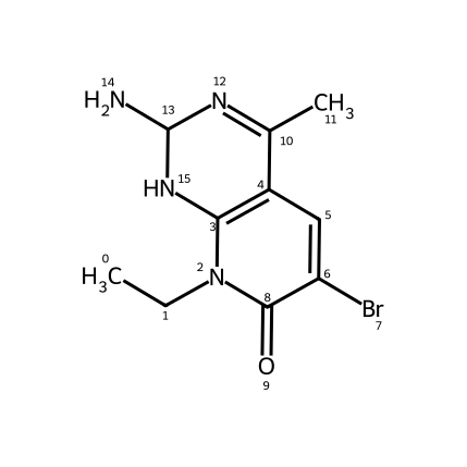 CCn1c2c(cc(Br)c1=O)C(C)=NC(N)N2